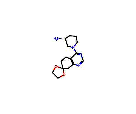 N[C@@H]1CCCN(c2ncnc3c2CCC2(C3)OCCO2)C1